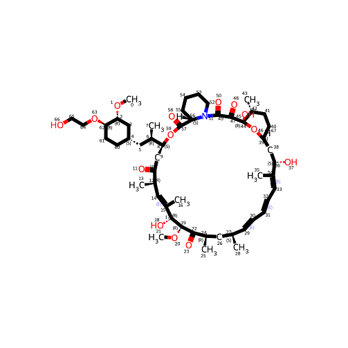 CO[C@@H]1C[C@H](C[C@@H](C)[C@@H]2CC(=O)[C@H](C)/C=C(\C)[C@@H](O)[C@@H](OC)C(=O)[C@H](C)C[C@H](C)/C=C/C=C/C=C(\C)[C@@H](O)C[C@@H]3CC[C@@H](C)[C@@](O)(O3)C(=O)C(=O)N3CCCC[C@H]3C(=O)O2)CC[C@H]1OCCO